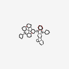 CC12C=CC=CC1C1=CC(N(c3ccccc3)c3ccccc3)C(N(c3ccccc3)c3ccc4c(c3)-c3ccccc3C43c4ccccc4N(c4ccccc4)c4ccccc43)C=C1O2